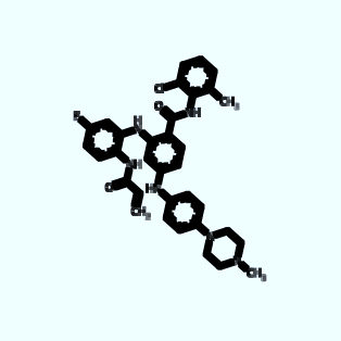 C=CC(=O)Nc1ccc(F)cc1Nc1cc(Nc2ccc(N3CCN(C)CC3)cc2)ccc1C(=O)Nc1c(C)cccc1Cl